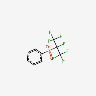 O=S(=O)(c1[c]cccc1)C(F)(C(F)(F)F)C(F)(F)F